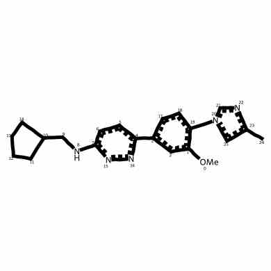 COc1cc(-c2ccc(NCC3CCCC3)nn2)ccc1-n1cnc(C)c1